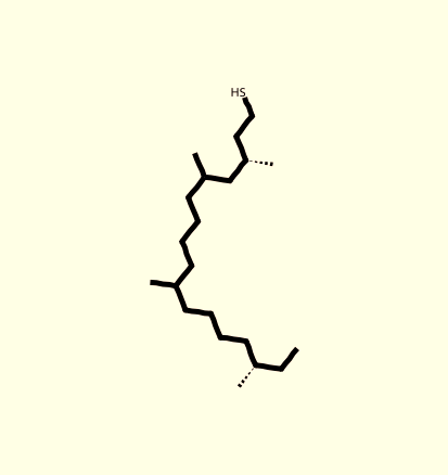 CC[C@H](C)CCCCC(C)CCCCC(C)C[C@@H](C)CCS